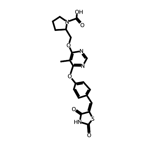 Cc1c(OCC2CCCN2C(=O)O)ncnc1Oc1ccc(C=C2SC(=O)NC2=O)cc1